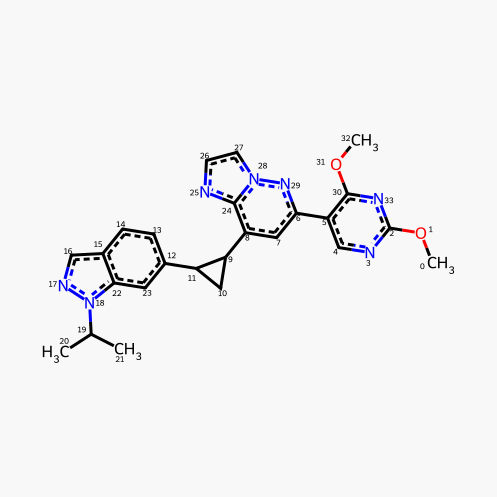 COc1ncc(-c2cc(C3CC3c3ccc4cnn(C(C)C)c4c3)c3nccn3n2)c(OC)n1